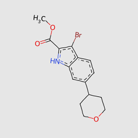 COC(=O)c1[nH]c2cc(C3CCOCC3)ccc2c1Br